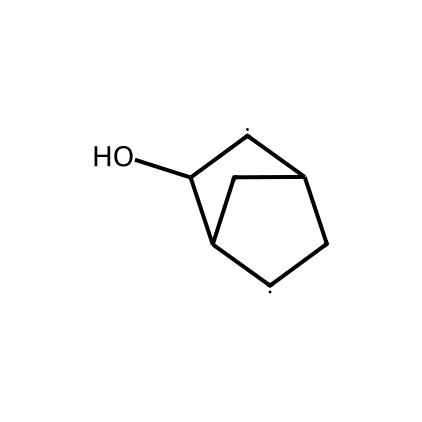 OC1[CH]C2C[CH]C1C2